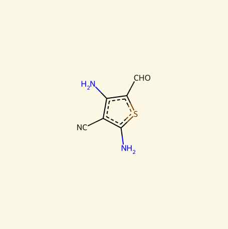 N#Cc1c(N)sc(C=O)c1N